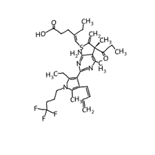 C=C/C=C\c1c(-c2nc(C)c([C@](C)(C(=C)S/C=C(\CC)CCC(=O)O)C(=O)CC)c(N)n2)c(CC)n(CCCC(F)(F)F)c1C